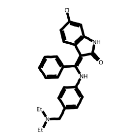 CCN(CC)Cc1ccc(N/C(=C2\C(=O)Nc3cc(Cl)ccc32)c2ccccc2)cc1